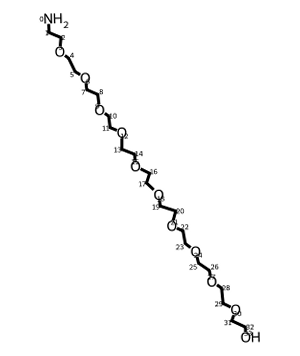 NCCOCCOCCOCCOCCOCCOCCOCCOCCOCCOCCO